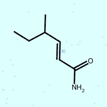 CCC(C)/C=C/C(N)=O